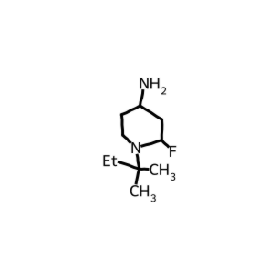 CCC(C)(C)N1CCC(N)CC1F